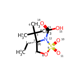 CC[C@@]1(C(C)(C)C)COS(=O)(=O)N1C(=O)O